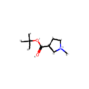 [CH2]N1CCC(C(=O)OC(C)(C)C)C1